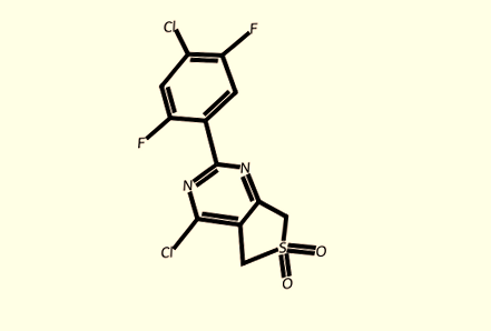 O=S1(=O)Cc2nc(-c3cc(F)c(Cl)cc3F)nc(Cl)c2C1